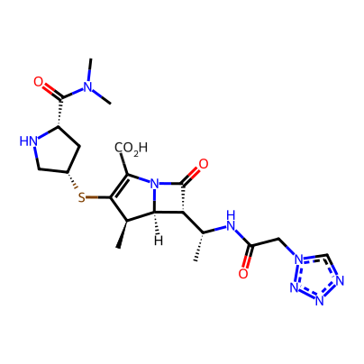 C[C@@H](NC(=O)Cn1cnnn1)[C@H]1C(=O)N2C(C(=O)O)=C(S[C@@H]3CN[C@H](C(=O)N(C)C)C3)[C@H](C)[C@H]12